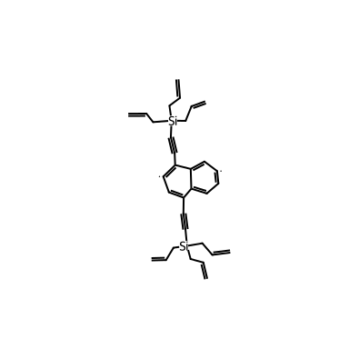 C=CC[Si](C#Cc1[c]cc(C#C[Si](CC=C)(CC=C)CC=C)c2cc[c]cc12)(CC=C)CC=C